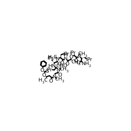 CC(C)C[C@H](C(N)=O)N(C)C(=O)[C@H](O[C@@H](C)C(=O)NC(=O)[C@H](CC(C)C)N(C)C(=O)[C@@H](CC(C)C)N[C@@](C=O)(CC(C)C)N(C)C(=O)CN(C)C(=O)C[C@@H](C)OC(=S)Oc1ccccc1)C(C)C